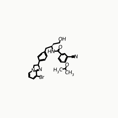 CC(C)Oc1ccc(C(=O)N[C@H](CCO)Cc2ccc(C3CN4C=CC=C(Br)C4=N3)cc2)cc1C#N